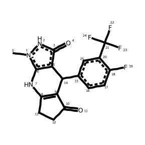 Cn1[nH]c(=O)c2c1NC1=C(C(=O)CC1)C2c1ccc(F)c(C(F)(F)F)c1